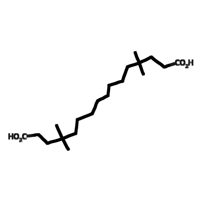 CC(C)(CCCCCCCCC(C)(C)CCC(=O)O)CCC(=O)O